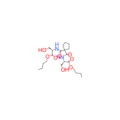 CCCCOC(=O)[C@@H](CO)NC(=O)C1(C(=O)N[C@H](CO)C(=O)OCCCC)CCCC1